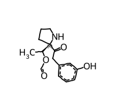 CC(OC=O)[C@@]1(C(=O)Cc2cccc(O)c2)CCCN1